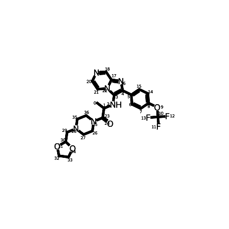 CC(Nc1c(-c2ccc(OC(F)(F)F)cc2)nc2cnccn12)C(=O)N1CCN(CC2OCCO2)CC1